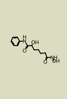 O=C(CCCCC(O)C(=O)Nc1ccccc1)NO